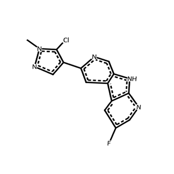 Cn1ncc(-c2cc3c(cn2)[nH]c2ncc(F)cc23)c1Cl